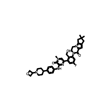 Cn1cc(-c2cc(F)cc(N3CCn4c(cc5c4CC(C)(C)C5)C3=O)c2CO)nc(Nc2ccc(C3CCN(C4COC4)CC3)cc2)c1=O